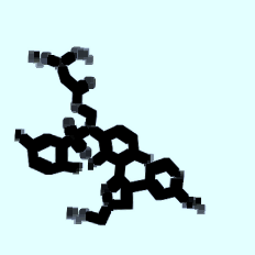 CCn1cc(-c2ccnc(N)c2)c(-c2c(F)ccc(N(COC(=O)CN(C)C)S(=O)(=O)c3cc(F)ccc3F)c2F)n1